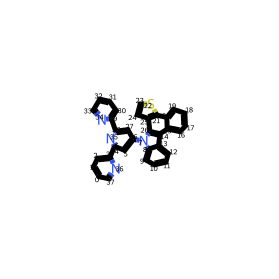 c1ccc(-c2cc(-n3c4ccccc4c4c5ccccc5c5sccc5c43)cc(-c3ccccn3)n2)nc1